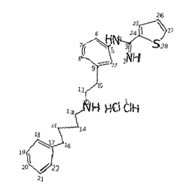 Cl.Cl.N=C(Nc1cccc(CCNCCCCc2ccccc2)c1)c1cccs1